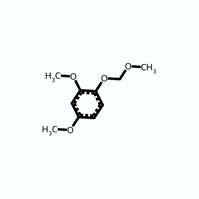 COCOc1ccc(OC)cc1OC